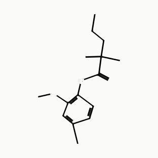 CCCC(C)(C)C(=O)Nc1ccc(C)cc1OC